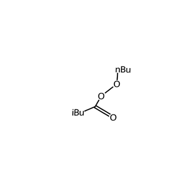 CCCCOOC(=O)C(C)CC